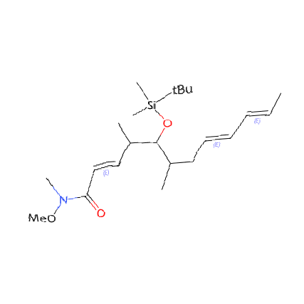 C/C=C/C=C/CC(C)C(O[Si](C)(C)C(C)(C)C)C(C)/C=C/C(=O)N(C)OC